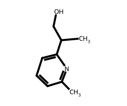 Cc1cccc(C(C)CO)n1